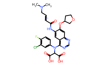 CN(C)C/C=C/C(=O)Nc1cc2c(N(c3ccc(F)c(Cl)c3)C(C(=O)O)C(=O)O)ncnc2cc1OC1CCOC1